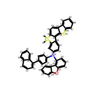 CS1(C)c2cc(N(c3ccc(-c4cccc5ccccc45)cc3)c3cccc4oc5ccccc5c34)ccc2-c2c1ccc1c2sc2ccccc21